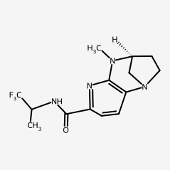 CC(NC(=O)c1ccc2c(n1)N(C)[C@H]1CCN2C1)C(F)(F)F